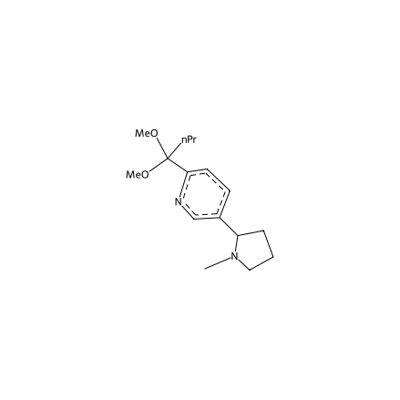 CCCC(OC)(OC)c1ccc(C2CCCN2C)cn1